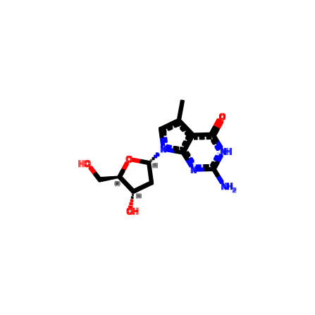 Cc1cn([C@@H]2C[C@H](O)[C@@H](CO)O2)c2nc(N)[nH]c(=O)c12